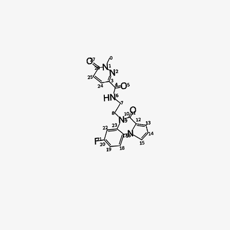 Cn1nc(C(=O)NCCn2c(=O)c3cccn3c3ccc(F)cc32)ccc1=O